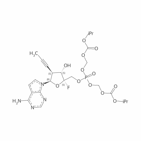 CC#C[C@@H]1[C@H](n2ccc3c(N)ncnc32)O[C@](F)(COP(=O)(OCOC(=O)OC(C)C)OCOC(=O)OC(C)C)[C@H]1O